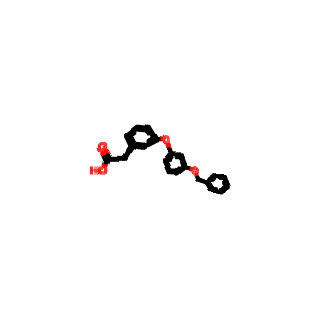 O=C(O)Cc1cccc(Oc2cccc(OCc3ccccc3)c2)c1